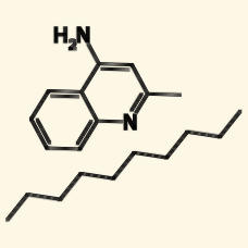 CCCCCCCCCC.Cc1cc(N)c2ccccc2n1